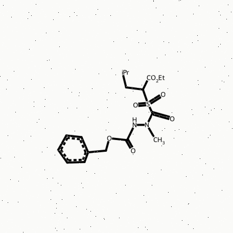 CCOC(=O)C(CC(C)C)S(=O)(=O)C(=O)N(C)NC(=O)OCc1ccccc1